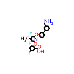 Cc1c(F)c(Oc2cccc(-c3cccc(CN)c3)c2)nc(Oc2ccc(I)cc2C(=O)O)c1F